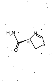 NC(=O)[C@@H]1CSC=N1